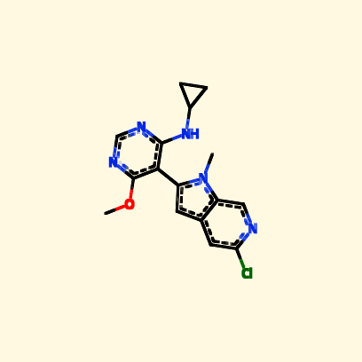 COc1ncnc(NC2CC2)c1-c1cc2cc(Cl)ncc2n1C